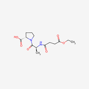 CCOC(=O)CCC(=O)N[C@@H](C)C(=O)N1CCC[C@H]1C(=O)O